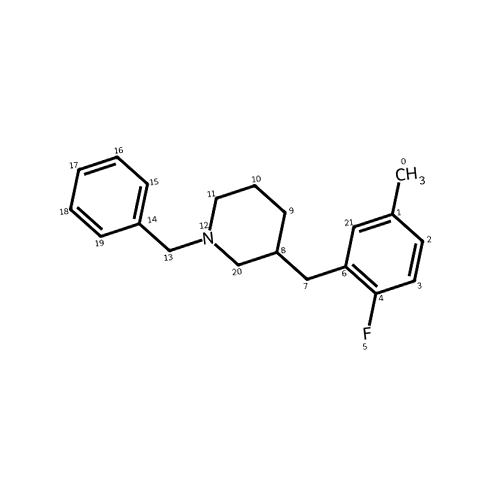 Cc1ccc(F)c(CC2CCCN(Cc3ccccc3)C2)c1